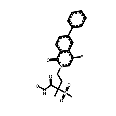 CC(CCn1cc(F)c2cc(-c3ccccc3)ccc2c1=O)(C(=O)NO)S(C)(=O)=O